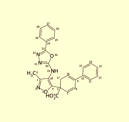 Cc1noc(C2(C(=O)O)C=CC(c3ccccc3)=CC2)c1Nc1nnc(-c2ccccc2)o1